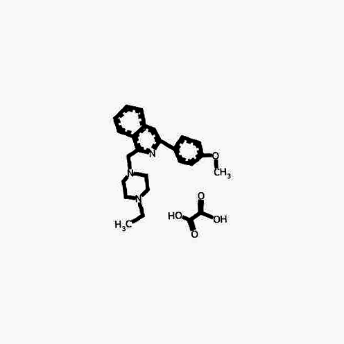 CCN1CCN(Cc2nc(-c3ccc(OC)cc3)cc3ccccc23)CC1.O=C(O)C(=O)O